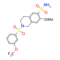 COc1cc2c(cc1S(N)(=O)=O)CCN(S(=O)(=O)c1cccc(OC(F)(F)F)c1)C2